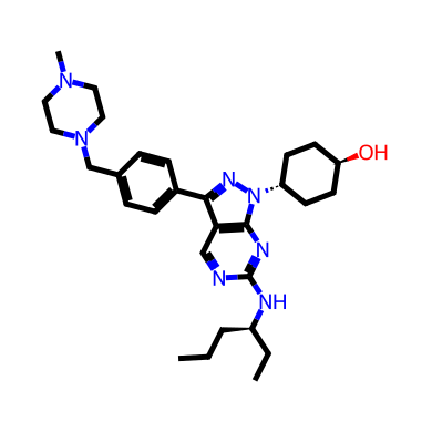 CCC[C@H](CC)Nc1ncc2c(-c3ccc(CN4CCN(C)CC4)cc3)nn([C@H]3CC[C@H](O)CC3)c2n1